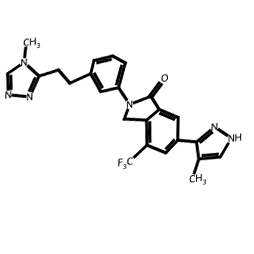 Cc1c[nH]nc1-c1cc2c(c(C(F)(F)F)c1)CN(c1cccc(CCc3nncn3C)c1)C2=O